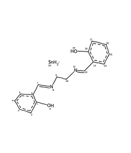 Oc1ccccc1/C=N/CC/N=C/c1ccccc1O.[SnH2]